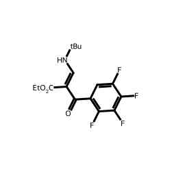 CCOC(=O)C(=CNC(C)(C)C)C(=O)c1cc(F)c(F)c(F)c1F